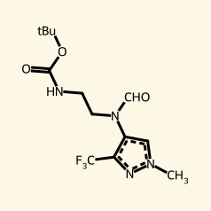 Cn1cc(N(C=O)CCNC(=O)OC(C)(C)C)c(C(F)(F)F)n1